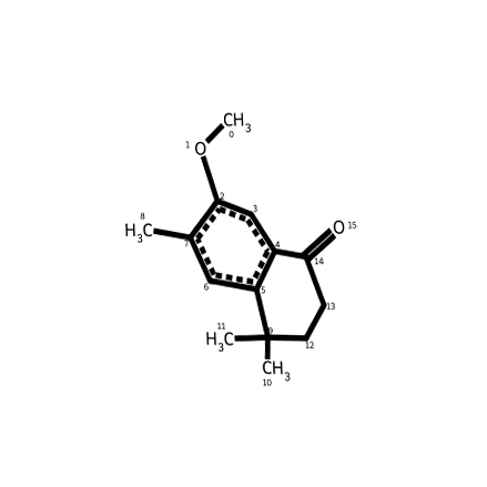 COc1cc2c(cc1C)C(C)(C)CCC2=O